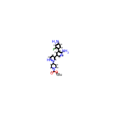 CC(C)(C)OC(=O)N1CCC(N2C=C(c3cnc(N)c(-c4ccc(N)cc4F)c3)C=CN2)CC1